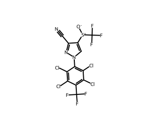 N#Cc1nn(-c2c(Cl)c(Cl)c(C(F)(F)F)c(Cl)c2Cl)cc1[S+]([O-])C(F)(F)F